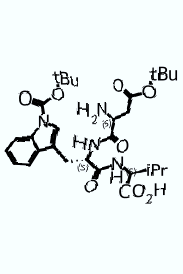 CC(C)[C@H](NC(=O)[C@H](Cc1cn(C(=O)OC(C)(C)C)c2ccccc12)NC(=O)[C@@H](N)CC(=O)OC(C)(C)C)C(=O)O